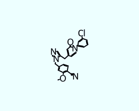 COc1cc(Cn2cncc2Cc2ccn(-c3cccc(Cl)c3)c(=O)c2)ccc1C#N